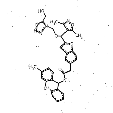 Cc1ccc(C(NC(=O)Cc2ccc3oc(C(OCn4nnnc4CO)c4c(C)noc4C)cc3c2)c2ccccc2)c(C)c1